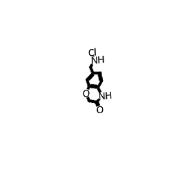 O=C1COc2cc(CNCl)ccc2N1